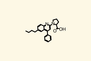 CCCCc1ccc2nc(N3CCCC3C(=O)O)cc(-c3ccccc3)c2c1